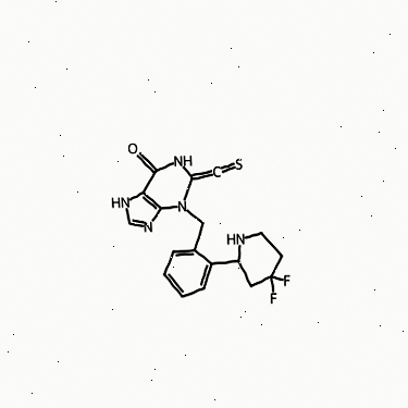 O=C1NC(=C=S)N(Cc2ccccc2C2CC(F)(F)CCN2)c2nc[nH]c21